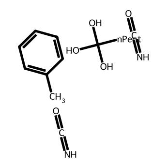 CCCCCC(O)(O)O.Cc1ccccc1.N=C=O.N=C=O